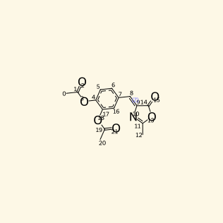 CC(=O)Oc1ccc(/C=C2\N=C(C)OC2=O)cc1OC(C)=O